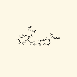 COC(=O)c1cc(F)c2nc(NCCc3c(CC(=O)OC(C)C)[nH]c4ccccc34)sc2c1